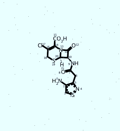 Nc1csnc1CC(=O)N[C@@H]1C(=O)N2C(C(=O)O)=C(Cl)CS[C@H]12